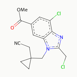 COC(=O)c1cc(Cl)c2nc(CCl)n(CC3(CC#N)CC3)c2c1